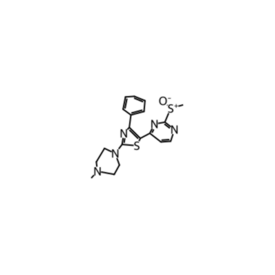 CN1CCN(c2nc(-c3ccccc3)c(-c3ccnc([S+](C)[O-])n3)s2)CC1